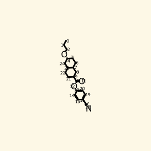 CCCOC1CCC2CC(C(=O)Oc3ccc(C#N)cc3)CCC2C1